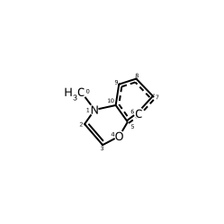 CN1C=COc2c[c]ccc21